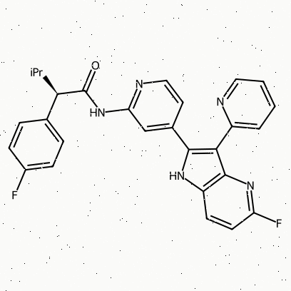 CC(C)[C@@H](C(=O)Nc1cc(-c2[nH]c3ccc(F)nc3c2-c2ccccn2)ccn1)c1ccc(F)cc1